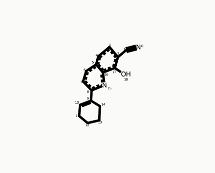 N#Cc1ccc2ccc(C3=CCCCC3)nc2c1O